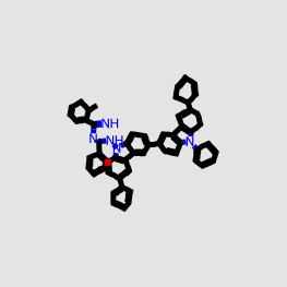 CC1CC=CC=C1C(=N)/N=C(\Nn1c2ccc(-c3ccccc3)cc2c2cc(-c3ccc4c(c3)c3c(n4-c4ccccc4)CCC(C4C=CC=CC4)=C3)ccc21)c1ccccc1